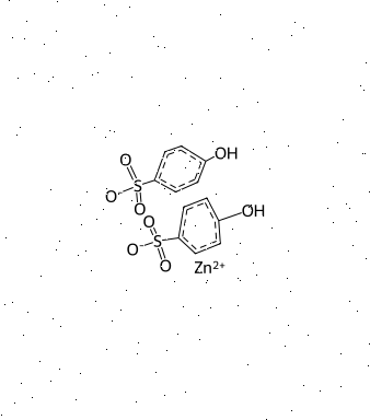 O=S(=O)([O-])c1ccc(O)cc1.O=S(=O)([O-])c1ccc(O)cc1.[Zn+2]